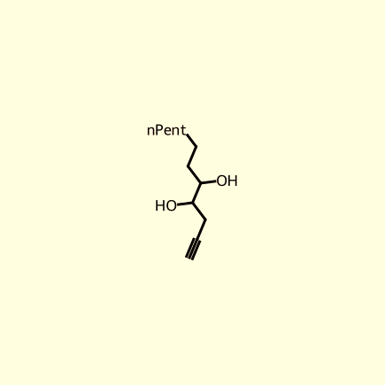 C#CCC(O)C(O)CCCCCCC